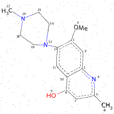 COc1cc2nc(C)cc(O)c2cc1N1CCN(C)CC1